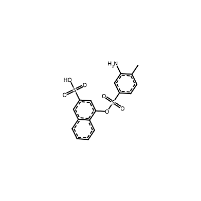 Cc1ccc(S(=O)(=O)Oc2cc(S(=O)(=O)O)cc3ccccc23)cc1N